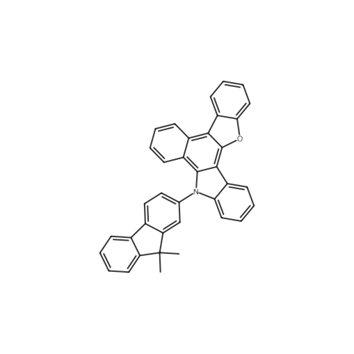 CC1(C)c2ccccc2-c2ccc(-n3c4ccccc4c4c5oc6ccccc6c5c5ccccc5c43)cc21